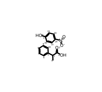 CC(C(=O)O)c1ccccc1.O=[N+]([O-])c1ccc(O)cc1